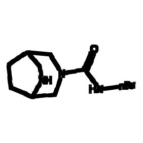 CCCCNC(=O)N1CC2CCC(C1)NC2